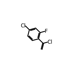 C=C(Cl)c1ccc(Cl)cc1F